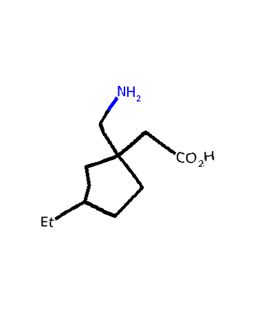 CCC1CCC(CN)(CC(=O)O)C1